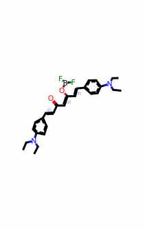 CCN(CC)c1ccc(/C=C/C(=O)/C=C(/C=C/c2ccc(N(CC)CC)cc2)OB(F)F)cc1